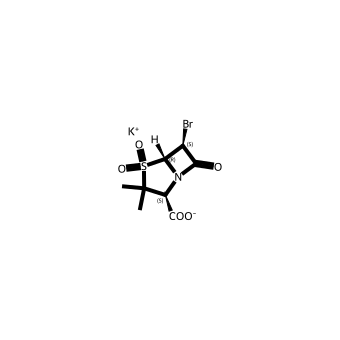 CC1(C)[C@H](C(=O)[O-])N2C(=O)[C@H](Br)[C@H]2S1(=O)=O.[K+]